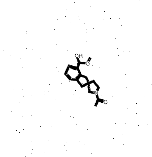 COC(O)c1cccc2c1CC1(CCN(C(C)=O)C1)C2